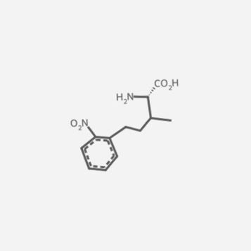 CC(CCc1ccccc1[N+](=O)[O-])[C@H](N)C(=O)O